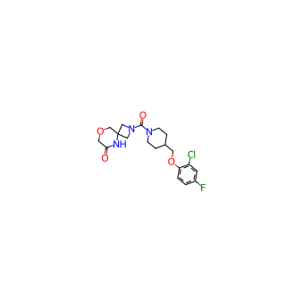 O=C1COCC2(CN(C(=O)N3CCC(COc4ccc(F)cc4Cl)CC3)C2)N1